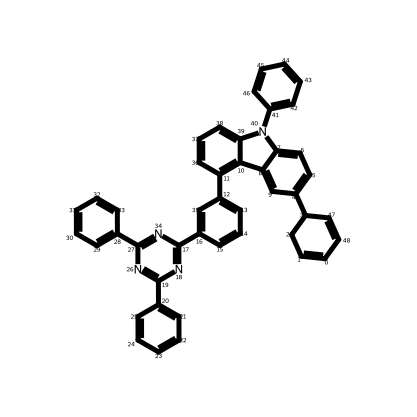 C1=CCC(c2ccc3c(c2)c2c(-c4cccc(-c5nc(-c6ccccc6)nc(-c6ccccc6)n5)c4)cccc2n3-c2ccccc2)C=C1